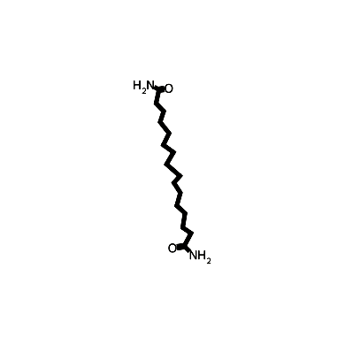 NC(=O)CCCCCCCCCCCCCCC(N)=O